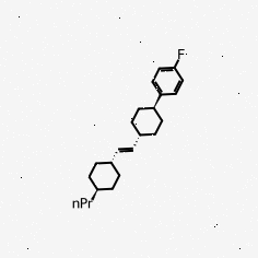 CCC[C@H]1CC[C@H](C=C[C@H]2CC[C@H](c3ccc(F)cc3)CC2)CC1